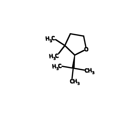 CC(C)(C)[C@@H]1OCCC1(C)C